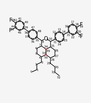 CCCCC1CCC(C(OC(c2ccc(-c3ccc(F)c(F)c3)cc2)C2CCC(CCCC)CC2)c2ccc(-c3ccc(F)c(F)c3)cc2)CC1